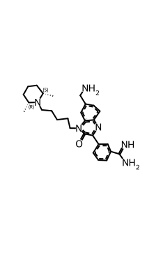 C[C@@H]1CCC[C@H](C)N1CCCCCn1c(=O)c(-c2cccc(C(=N)N)c2)nc2ccc(CN)cc21